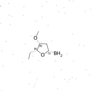 B[C@H]1C[C@@H](OC)[C@@H](CC)O1